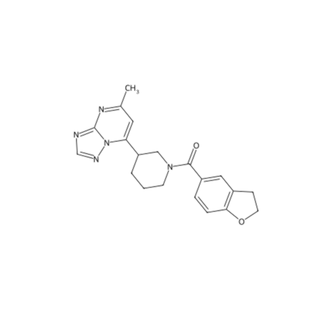 Cc1cc(C2CCCN(C(=O)c3ccc4c(c3)CCO4)C2)n2ncnc2n1